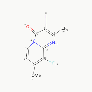 COc1ccn2c(=O)c(I)c(C(F)(F)F)nc2c1F